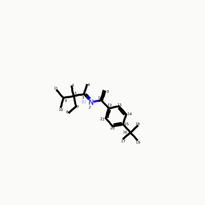 C=C(/N=C(\C)C(C)(CC)C(C)C)c1ccc(C(C)(C)C)cc1